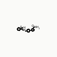 NC(=O)c1cccc(-c2ccc(CNCc3csc4ccccc34)cc2)c1